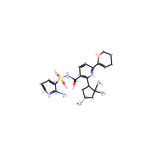 C[C@@H]1CC(c2nc(C3=CCCCO3)ccc2C(=O)NS(=O)(=O)c2cccnc2N)C(C)(C)C1